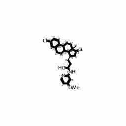 COc1ccnc(NC(O)CC[C@@H]2CC(=O)[C@@]3(C)CCC4c5ccc(Cl)cc5CCC4C23)c1